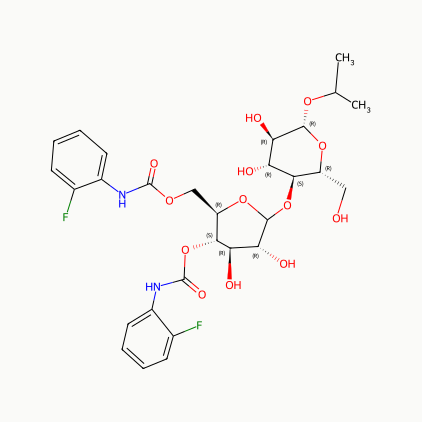 CC(C)O[C@@H]1O[C@H](CO)[C@@H](OC2O[C@H](COC(=O)Nc3ccccc3F)[C@@H](OC(=O)Nc3ccccc3F)[C@H](O)[C@H]2O)[C@H](O)[C@H]1O